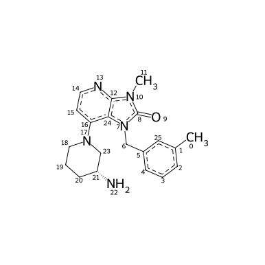 Cc1cccc(Cn2c(=O)n(C)c3nccc(N4CCC[C@@H](N)C4)c32)c1